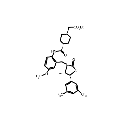 CCOC(=O)C[C@H]1CC[C@H](C(=O)Nc2ccc(OC(F)(F)F)cc2CN2C(=O)O[C@H](c3cc(C(F)(F)F)cc(C(F)(F)F)c3)[C@@H]2C)CC1